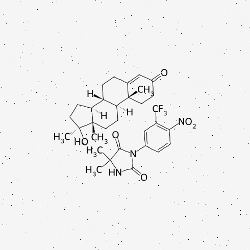 CC1(C)NC(=O)N(c2ccc([N+](=O)[O-])c(C(F)(F)F)c2)C1=O.C[C@]12CCC(=O)C=C1CC[C@@H]1[C@@H]2CC[C@@]2(C)[C@H]1CC[C@]2(C)O